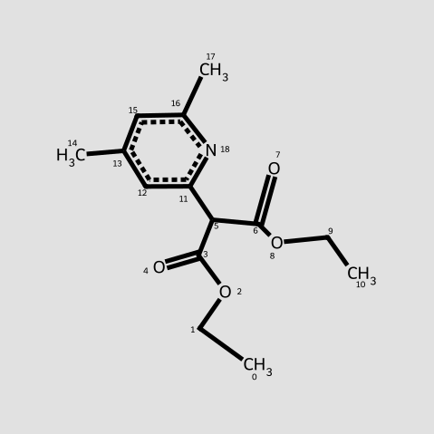 CCOC(=O)C(C(=O)OCC)c1cc(C)cc(C)n1